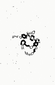 COCCOc1cc2ncnc(N3CCN(N(C=O)c4ccc(OC(C)C)cc4)CC3)c2cc1OCCC1CCCCN1